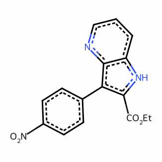 CCOC(=O)c1[nH]c2cccnc2c1-c1ccc([N+](=O)[O-])cc1